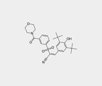 CC(C)(C)c1cc(/C=C(/C#N)S(=O)(=O)c2cccc(C(=O)N3CCOCC3)c2)cc(C(C)(C)C)c1O